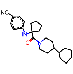 N#Cc1ccc(NC2(C(=O)N3CCC(C4CCCCC4)CC3)CCCC2)cc1